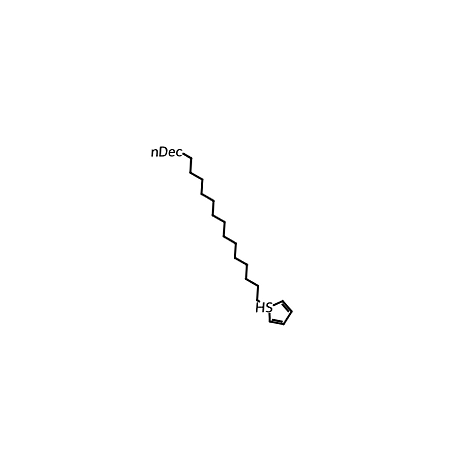 CCCCCCCCCCCCCCCCCCCCCCCC[SH]1C=CC=C1